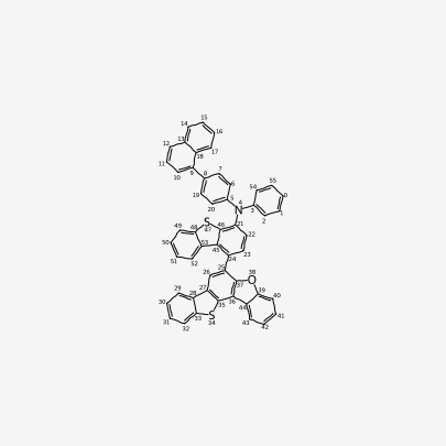 c1ccc(N(c2ccc(-c3cccc4ccccc34)cc2)c2ccc(-c3cc4c5ccccc5sc4c4c3oc3ccccc34)c3c2sc2ccccc23)cc1